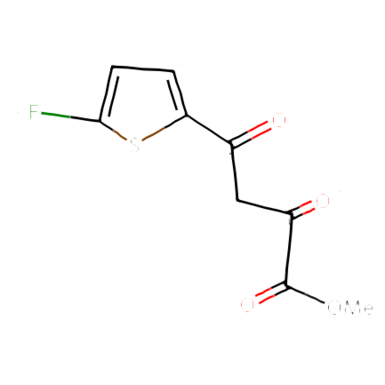 COC(=O)C(=O)CC(=O)c1ccc(F)s1